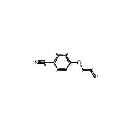 C=C[CH]Oc1ccc(C#N)cc1